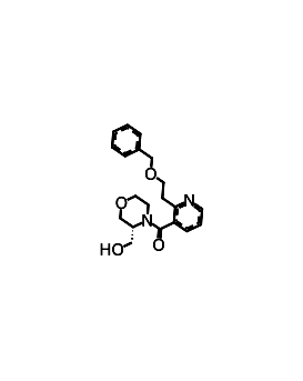 O=C(c1cccnc1CCOCc1ccccc1)N1CCOC[C@H]1CO